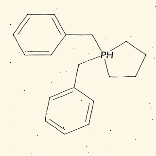 c1ccc(C[PH]2(Cc3ccccc3)CCCC2)cc1